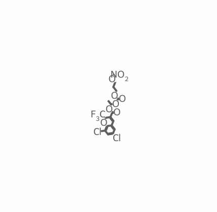 CC(OC(=O)OCCCO[N+](=O)[O-])OC(=O)C1=Cc2cc(Cl)cc(Cl)c2OC1C(F)(F)F